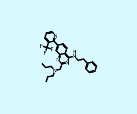 CCCN(CCC)Cc1nc(NCCc2ccccc2)c2ccc(-c3ncccc3C(F)(F)F)cc2n1